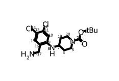 CC(C)(C)OC(=O)N1CCC(Nc2cc(Cl)c(Cl)cc2CN)CC1